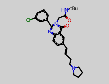 CC(C)(C)NC(=O)Cn1c(-c2cccc(Cl)c2)nc2ccc(C=CCCN3CCCC3)cc2c1=O